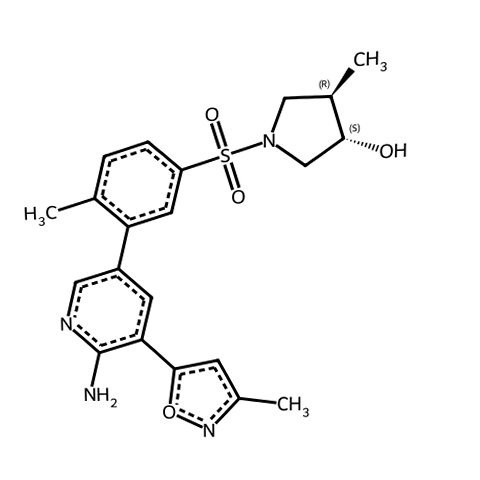 Cc1cc(-c2cc(-c3cc(S(=O)(=O)N4C[C@@H](C)[C@H](O)C4)ccc3C)cnc2N)on1